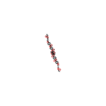 C=CC(=O)OCCCCOc1ccc(C(=O)Oc2ccc(C(=O)O[C@@H]3CO[C@H]4[C@@H]3OC[C@H]4OC(=O)c3ccc(OC(=O)c4ccc(OCCCCOC(=O)C=C)cc4)cc3)cc2)cc1